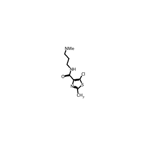 CNCCCNC(=O)c1nc(C)sc1Cl